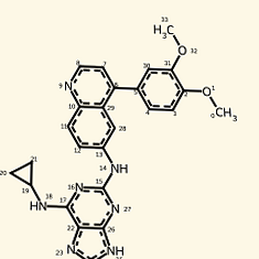 COc1ccc(-c2ccnc3ccc(Nc4nc(NC5CC5)c5nc[nH]c5n4)cc23)cc1OC